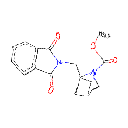 CC(C)(C)OC(=O)N1CC2CC1(CN1C(=O)c3ccccc3C1=O)C2